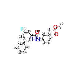 CCOC(=O)Cc1cccc(NC(=O)c2cc(F)cc(-c3ccccc3)c2)c1